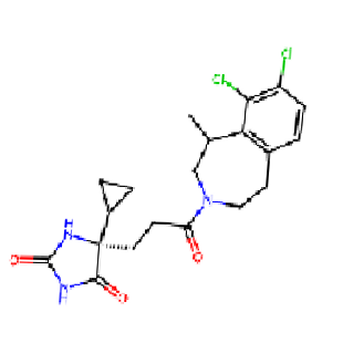 CC1CN(C(=O)CC[C@@]2(C3CC3)NC(=O)NC2=O)CCc2ccc(Cl)c(Cl)c21